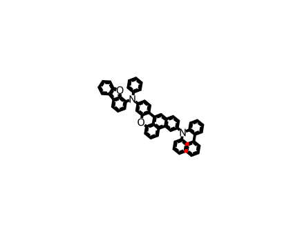 c1ccc(-c2ccccc2N(c2ccccc2)c2ccc3cc4c5c(cccc5c3c2)Oc2cc(N(c3ccccc3)c3cccc5c3oc3ccccc35)ccc2-4)cc1